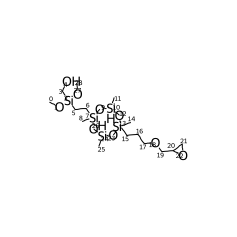 CO[Si](CO)(CC[Si]1(C)O[SiH](C)O[Si](C)(CCCOCC2CO2)O[SiH](C)O1)OC